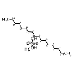 CCCCCCCCCCCCCCCCCC.O=S(=O)(O)O.[KH]